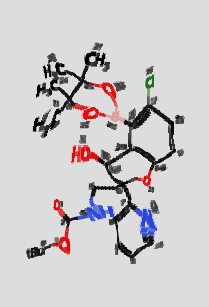 CC(C)(C)OC(=O)NCC1(c2ccccn2)Oc2ccc(Cl)c(B3OC(C)(C)C(C)(C)O3)c2[C@@H]1O